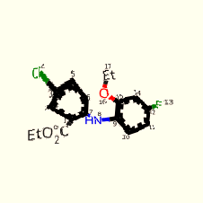 CCOC(=O)c1cc(Cl)ccc1Nc1ccc(F)cc1OCC